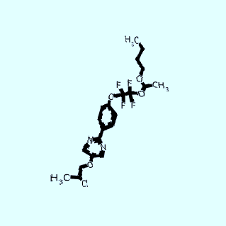 CCCCOC(C)OC(F)(F)C(F)(F)Oc1ccc(-c2ncc(OCC(C)Cl)cn2)cc1